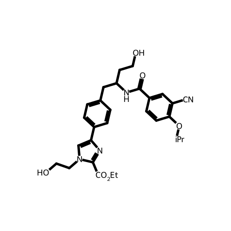 CCOC(=O)c1nc(-c2ccc(CC(CCO)NC(=O)c3ccc(OC(C)C)c(C#N)c3)cc2)cn1CCO